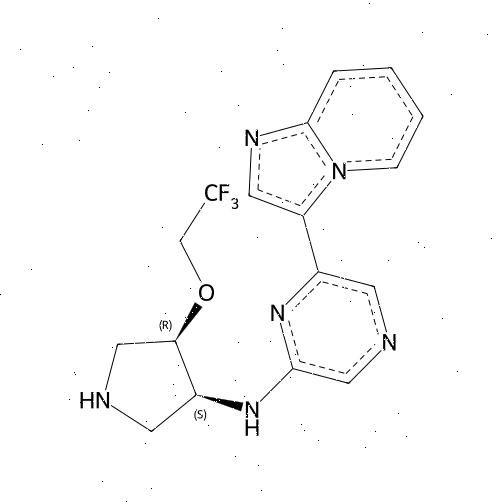 FC(F)(F)CO[C@@H]1CNC[C@@H]1Nc1cncc(-c2cnc3ccccn23)n1